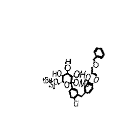 CO[C@@]1(c2ccc(Cl)c(Cc3ccc4c(c3)OC(COCc3ccccc3)CO4)c2)O[C@H](CO[Si](C)(C)C(C)(C)C)[C@@H](O)[C@H](O)[C@H]1O